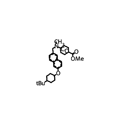 COC(=O)C12CCC(N(C)Cc3ccc4cc(OC5CCC(C(C)(C)C)CC5)ccc4c3)(CC1)CC2